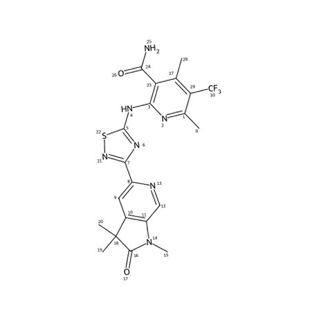 Cc1nc(Nc2nc(-c3cc4c(cn3)N(C)C(=O)C4(C)C)ns2)c(C(N)=O)c(C)c1C(F)(F)F